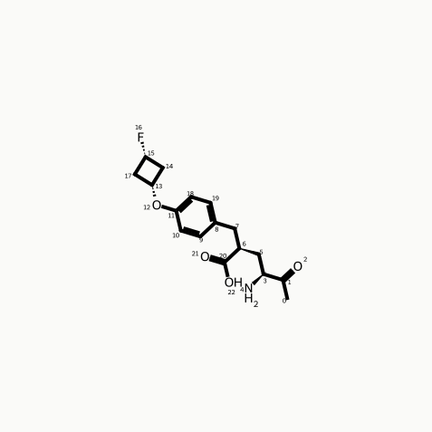 CC(=O)[C@@H](N)C[C@H](Cc1ccc(O[C@H]2C[C@@H](F)C2)cc1)C(=O)O